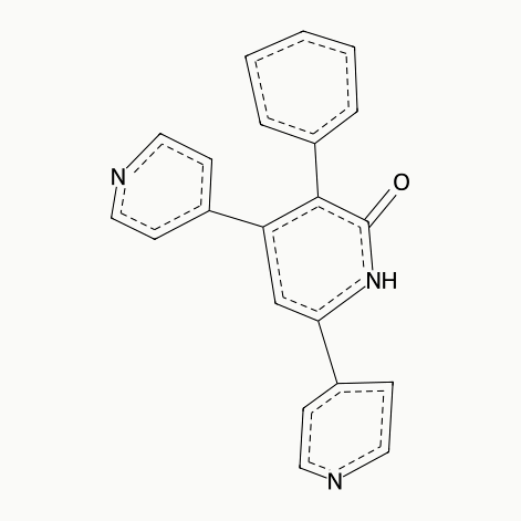 O=c1[nH]c(-c2ccncc2)cc(-c2ccncc2)c1-c1ccccc1